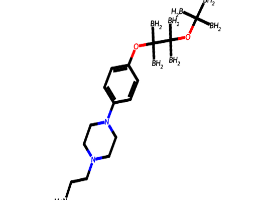 BC(B)(B)OC(B)(B)C(B)(B)Oc1ccc(N2CCN(CCNC)CC2)cc1